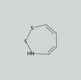 c1ccss[nH]c1